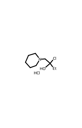 CCC(O)(Cl)CN1CCCCC1.Cl